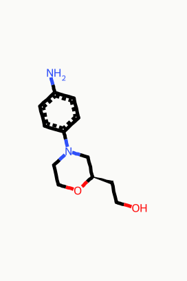 Nc1ccc(N2CCO[C@H](CCO)C2)cc1